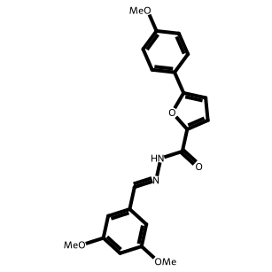 COc1ccc(-c2ccc(C(=O)NN=Cc3cc(OC)cc(OC)c3)o2)cc1